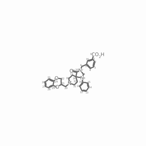 O=C(O)c1cccc(CN2CN(c3ccccc3)C3(CCN(CC4COc5ccccc5O4)CC3)C2=O)c1